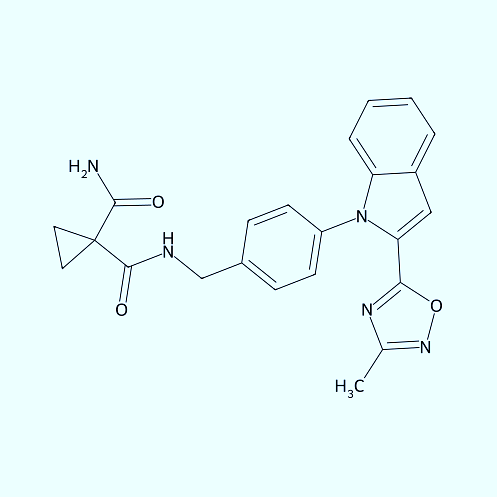 Cc1noc(-c2cc3ccccc3n2-c2ccc(CNC(=O)C3(C(N)=O)CC3)cc2)n1